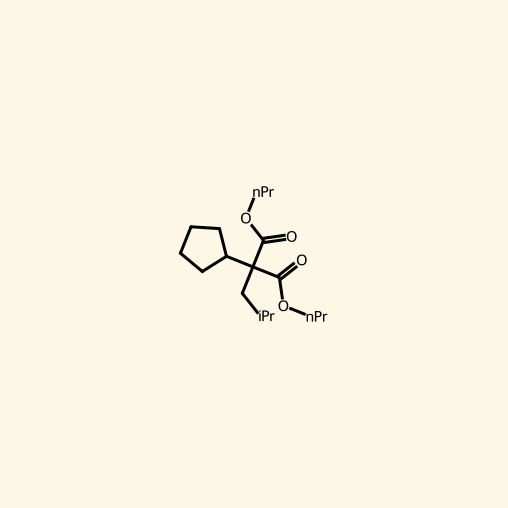 CCCOC(=O)C(CC(C)C)(C(=O)OCCC)C1CCCC1